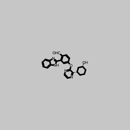 O=Cc1ccc(Oc2nccnc2[C@H]2CCC[C@@H](O)C2)cc1-c1nc2ccccc2[nH]1